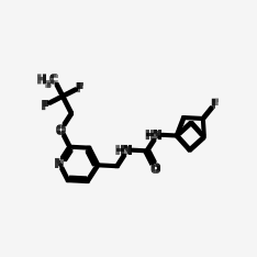 CC(F)(F)COc1cc(CNC(=O)NC23CC(F)C(C2)C3)ccn1